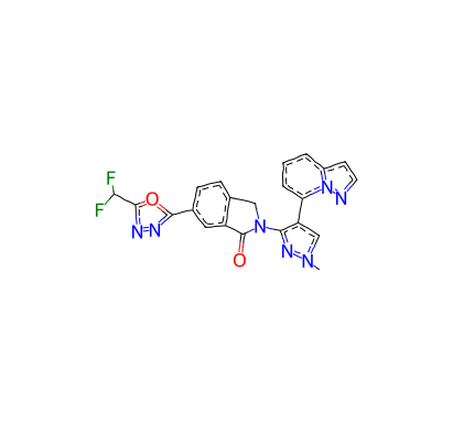 Cn1cc(-c2cccc3ccnn23)c(N2Cc3ccc(-c4nnc(C(F)F)o4)cc3C2=O)n1